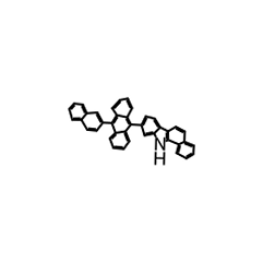 c1ccc2cc(-c3c4ccccc4c(-c4ccc5c(c4)[nH]c4c6ccccc6ccc54)c4ccccc34)ccc2c1